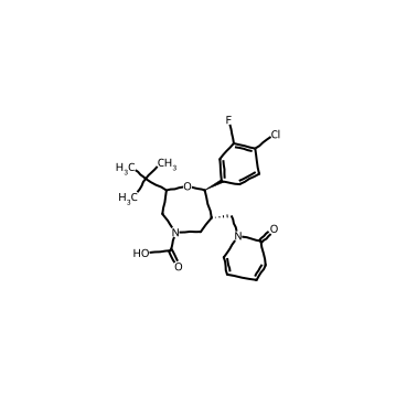 CC(C)(C)C1CN(C(=O)O)C[C@@H](Cn2ccccc2=O)[C@H](c2ccc(Cl)c(F)c2)O1